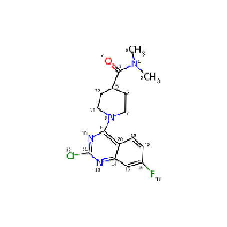 CN(C)C(=O)C1CCN(c2nc(Cl)nc3cc(F)ccc23)CC1